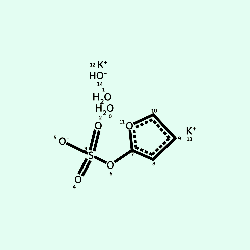 O.O.O=S(=O)([O-])Oc1ccco1.[K+].[K+].[OH-]